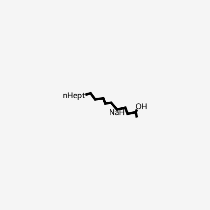 CCCCCCCCCCCCCCCC(C)O.[NaH]